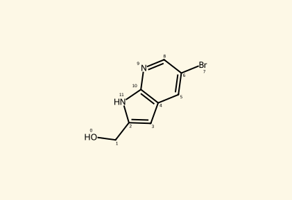 OCc1cc2cc(Br)cnc2[nH]1